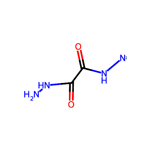 [N]NC(=O)C(=O)NN